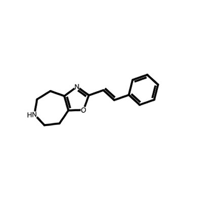 C(=C\c1nc2c(o1)CCNCC2)/c1ccccc1